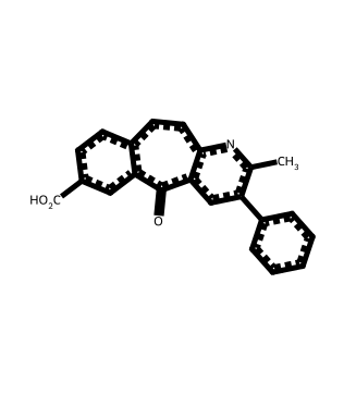 Cc1nc2ccc3ccc(C(=O)O)cc3c(=O)c2cc1-c1ccccc1